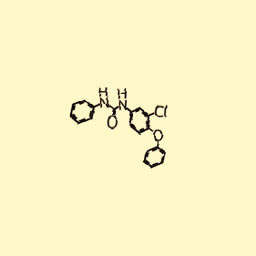 O=C(Nc1ccccc1)Nc1ccc(Oc2ccccc2)c(Cl)c1